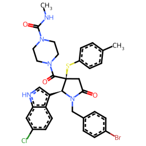 CNC(=O)N1CCN(C(=O)[C@]2(Sc3ccc(C)cc3)CC(=O)N(Cc3ccc(Br)cc3)[C@H]2c2c[nH]c3cc(Cl)ccc23)CC1